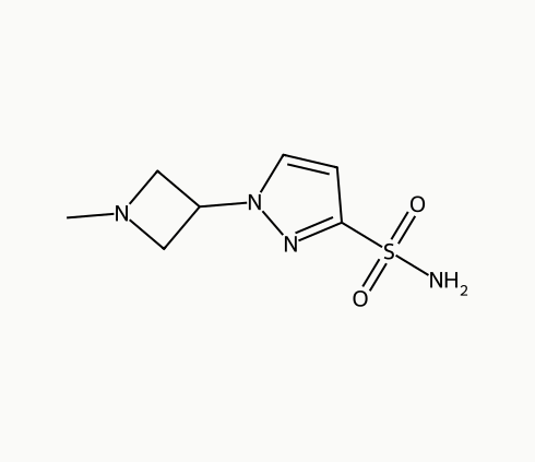 CN1CC(n2ccc(S(N)(=O)=O)n2)C1